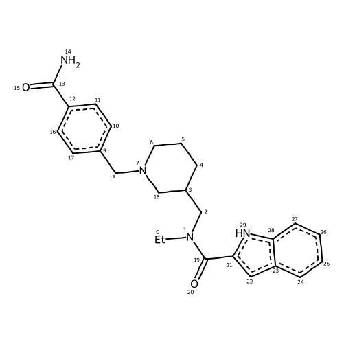 CCN(CC1CCCN(Cc2ccc(C(N)=O)cc2)C1)C(=O)c1cc2ccccc2[nH]1